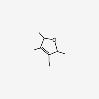 CC1=C(C)C(C)OC1C